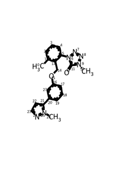 Cc1cccc(-n2nnn(C)c2=O)c1COc1cccc(-c2ccnn2C)c1